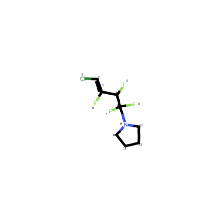 F/C(=C\Cl)C(F)C(F)(F)N1CCCC1